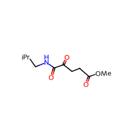 COC(=O)CCC(=O)C(=O)NCC(C)C